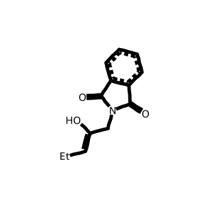 CCC=C(O)CN1C(=O)c2ccccc2C1=O